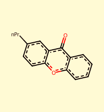 CCCc1ccc2oc3ccccc3c(=O)c2c1